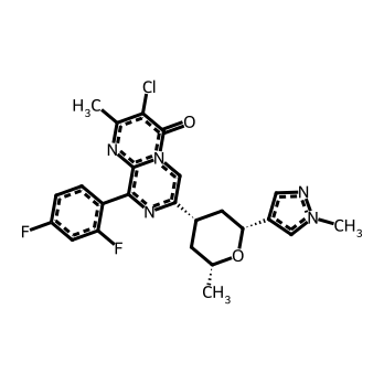 Cc1nc2c(-c3ccc(F)cc3F)nc([C@H]3C[C@@H](C)O[C@@H](c4cnn(C)c4)C3)cn2c(=O)c1Cl